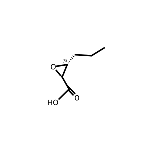 CCC[C@H]1OC1C(=O)O